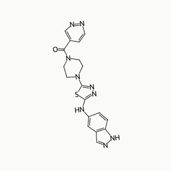 O=C(c1ccnnc1)N1CCN(c2nnc(Nc3ccc4[nH]ncc4c3)s2)CC1